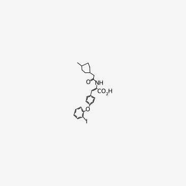 CC1CCC(CC(=O)NC(=Cc2ccc(Oc3ccccc3I)cc2)C(=O)O)CC1